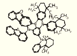 CC1(C)CCC(C)(C)c2cc(N3c4cc5c(cc4B4c6cc7oc8ccccc8c7cc6N(c6cccc7c6sc6ccccc67)c6cc(N7c8ccccc8C8(C)CCCCC78C)cc3c64)C(C)(C)CCC5(C)C)ccc21